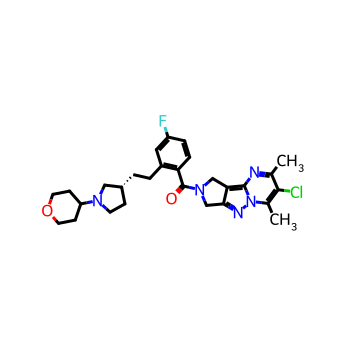 Cc1nc2c3c(nn2c(C)c1Cl)CN(C(=O)c1ccc(F)cc1CC[C@@H]1CCN(C2CCOCC2)C1)C3